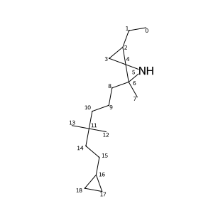 CCC1CC12NC2(C)CCCC(C)(C)CCC1CC1